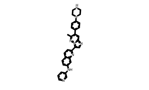 Cc1nn2c(-c3ccc4ccc(Nc5cccnc5)cc4n3)cnc2cc1-c1ccc(N2CCNCC2)cc1